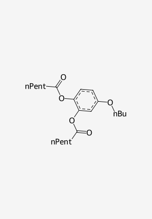 CCCCCC(=O)Oc1ccc(OCCCC)cc1OC(=O)CCCCC